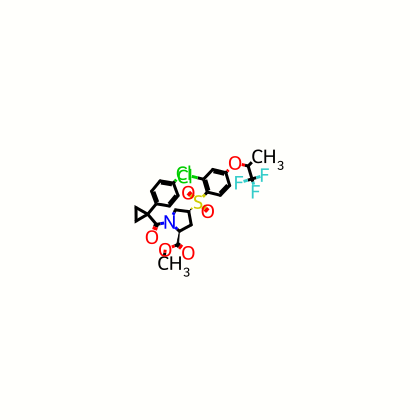 COC(=O)[C@@H]1C[C@@H](S(=O)(=O)c2ccc(OC(C)C(F)(F)F)cc2Cl)CN1C(=O)C1(c2ccc(Cl)cc2)CC1